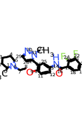 CC1CCCCN1CCOc1ccc(NC(=O)c2cccc(F)c2F)cc1-c1ccnn1C